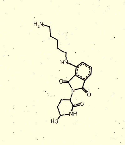 NCCCCCNc1cccc2c1C(=O)N(C1CCC(O)NC1=O)C2=O